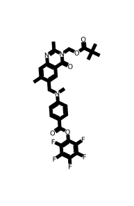 Cc1cc2nc(C)n(COC(=O)C(C)(C)C)c(=O)c2cc1CN(C)c1ccc(C(=O)Oc2c(F)c(F)c(F)c(F)c2F)cc1